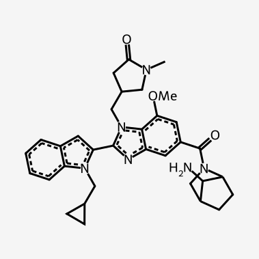 COc1cc(C(=O)N2CC3CCC2C3N)cc2nc(-c3cc4ccccc4n3CC3CC3)n(CC3CC(=O)N(C)C3)c12